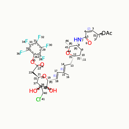 CC(=O)O[C@@H](C)/C=C\C(=O)N[C@@H]1C[C@H](C)[C@H](C/C=C(C)/C=C/[C@H]2O[C@H](CC(=O)Oc3c(F)c(F)c(F)c(F)c3F)C[C@@](O)(CCl)[C@@H]2O)O[C@@H]1C